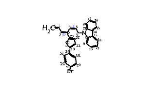 C=C/C=C(\C=C/Cn1c2ccccc2c2ccccc21)c1ccc(-c2ccc(Br)cc2)s1